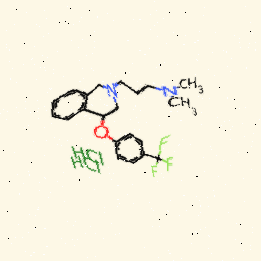 CN(C)CCCN1Cc2ccccc2C(Oc2ccc(C(F)(F)F)cc2)C1.Cl.Cl